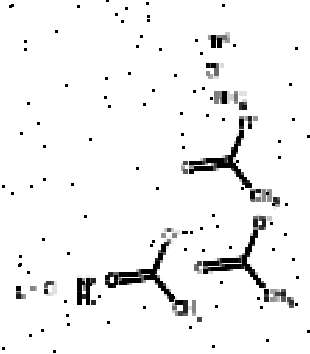 CC(=O)[O-].CC(=O)[O-].CC(=O)[O-].[Cl-].[Cl-].[Cl-].[NH4+].[NH4+].[Ti+4]